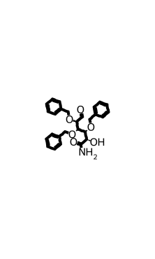 NC(=O)[C@@H](O)[C@@H](OCc1ccccc1)[C@H](OCc1ccccc1)[C@H](C=O)OCc1ccccc1